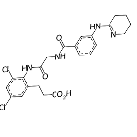 O=C(O)CCc1cc(Cl)cc(Cl)c1NC(=O)CNC(=O)c1cccc(NC2=NCCCC2)c1